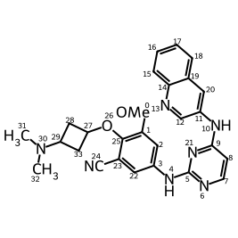 COc1cc(Nc2nccc(Nc3cnc4ccccc4c3)n2)cc(C#N)c1OC1CC(N(C)C)C1